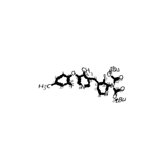 Cc1ccc(Oc2cncc(Cc3ccnc(N(C(=O)OC(C)(C)C)C(=O)OC(C)(C)C)c3F)c2C)c(F)c1